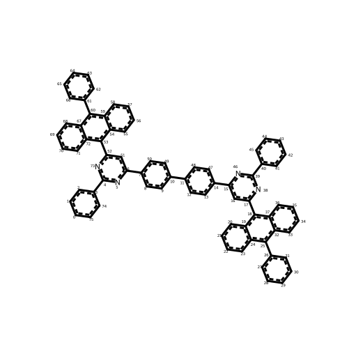 c1ccc(-c2nc(-c3ccc(-c4ccc(-c5cc(-c6c7ccccc7c(-c7ccccc7)c7ccccc67)nc(-c6ccccc6)n5)cc4)cc3)cc(-c3c4ccccc4c(-c4ccccc4)c4ccccc34)n2)cc1